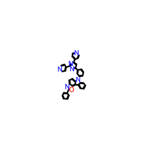 c1ccc(-c2nc3ccc4c(c5ccccc5n4-c4cccc(-c5cc(-c6ccncc6)nc(-c6ccncc6)n5)c4)c3o2)cc1